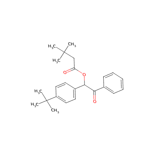 CC(C)(C)CC(=O)OC(C(=O)c1ccccc1)c1ccc(C(C)(C)C)cc1